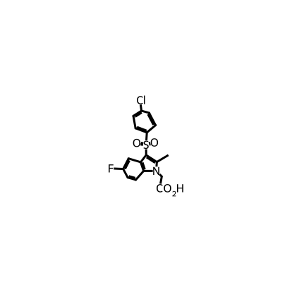 Cc1c(S(=O)(=O)c2ccc(Cl)cc2)c2cc(F)ccc2n1CC(=O)O